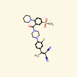 CC(=C(C#N)C#N)c1ccc(N2CCN(C(=O)c3cc(S(C)(=O)=O)ccc3N3CCCCC3)CC2)c(F)c1